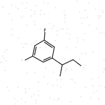 CCC(C)c1cc(C)cc(F)c1